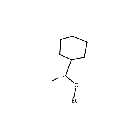 CCO[C@H](C)C1CCCCC1